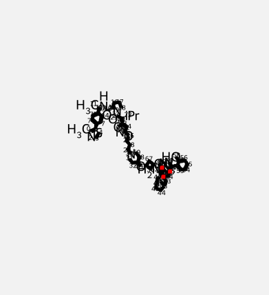 Cc1ncsc1-c1ccc([C@H](C)NC(=O)[C@@H]2CCCN2C(=O)[C@@H](c2cc(OCCCN3CCC(O[C@H]4C[C@H](Oc5cc(N6C7CCC6CN(c6cc(-c8ccccc8O)nnc6N)C7)ccn5)C4)CC3)no2)C(C)C)cc1